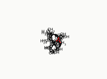 CNC(CC(C)C)C(=O)NC1C(=O)NC(CC(N)=O)C(=O)NC2C(=O)NC3C(=O)NC(C(=O)NC(C(=O)O)c4cc(O)cc(O)c4-c4cc3ccc4O)C(O)c3ccc(c(Cl)c3)Oc3cc2cc(c3OC2OC(CO)C(O)C(O)C2OC2CC(C)(N)C(O)C(C)O2)Oc2ccc(cc2Cl)C1O.S